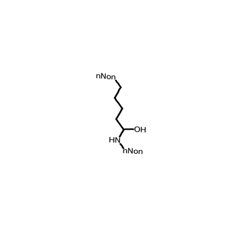 CCCCCCCCCCCCCC(O)NCCCCCCCCC